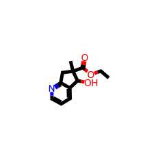 CCOC(=O)C1(C)Cc2ncccc2C1O